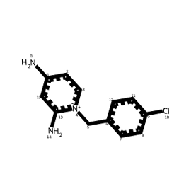 Nc1cc[n+](Cc2ccc(Cl)cc2)c(N)c1